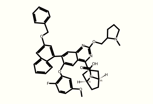 COc1ccc(F)c(Oc2cc3c(N4C[C@H]5CC[C@@H](C4)N5C(=O)O)nc(OCC4CCCN4C)nc3cc2-c2cc(OCc3ccccc3)cc3ccccc23)c1